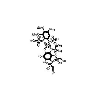 CO[C@@H]1[C@@H](OC)[C@H](OP(=O)(O)O)[C@@H](OP(=O)(O)O[C@H]2[C@H](O)[C@@H](O)[C@H](OP(=O)(O)CO)[C@@H](OP(=O)(O)CO)[C@H]2OP(=O)(O)CO)[C@@H](OP(=O)(O)O)[C@H]1OC